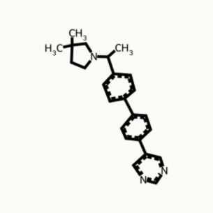 CC(c1ccc(-c2ccc(-c3cncnc3)cc2)cc1)N1CCC(C)(C)C1